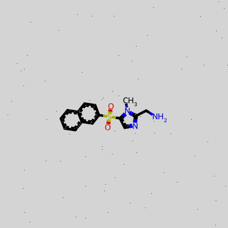 Cn1c(S(=O)(=O)c2ccc3ccccc3c2)cnc1CN